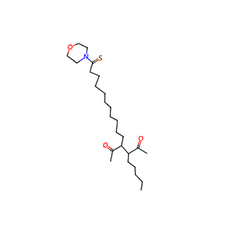 CCCCCC(C(C)=O)C(CCCCCCCCCCC(=S)N1CCOCC1)C(C)=O